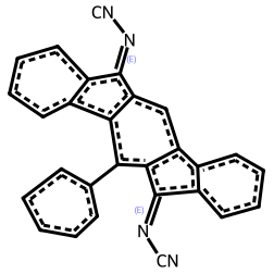 [C-]#[N+]/N=c1\c2ccccc2c2c(-c3ccccc3)c3/c(=N/C#N)c4ccccc4c3cc12